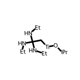 CCNC([CH2][Ti][O]C(C)C)(NCC)NCC